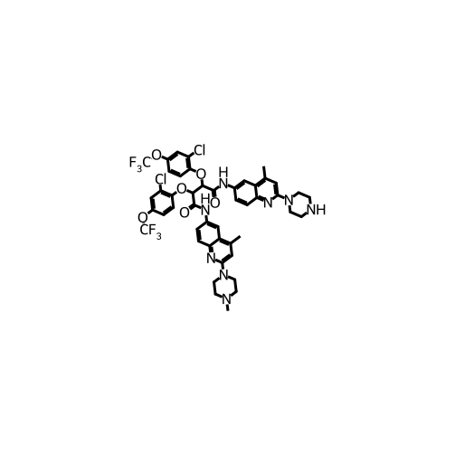 Cc1cc(N2CCNCC2)nc2ccc(NC(=O)C(Oc3ccc(OC(F)(F)F)cc3Cl)C(Oc3ccc(OC(F)(F)F)cc3Cl)C(=O)Nc3ccc4nc(N5CCN(C)CC5)cc(C)c4c3)cc12